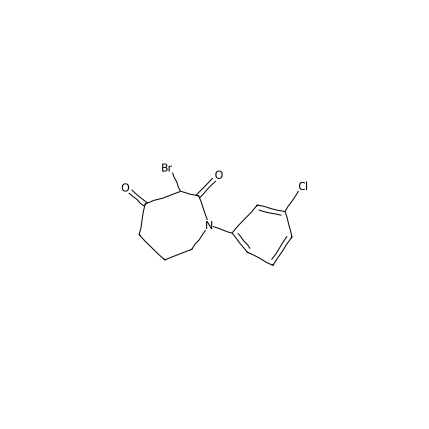 O=C1CCCN(c2cccc(Cl)c2)C(=O)C1Br